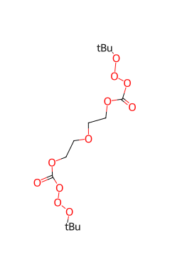 CC(C)(C)OOOC(=O)OCCOCCOC(=O)OOOC(C)(C)C